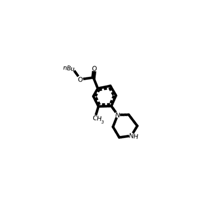 CCCCOC(=O)c1ccc(N2CCNCC2)c(C)c1